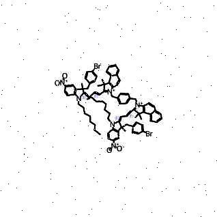 CCCCCCCCN1/C(=C/C=C/C2=[N+](Cc3ccc(C[N+]4=C(/C=C/C=C5/N(CCCCCCCC)c6ccc([N+](=O)[O-])cc6C5(C)Cc5ccc(Br)cc5)C(C)(C)c5c4ccc4ccccc54)cc3)c3ccc4ccccc4c3C2(C)C)C(C)(Cc2ccc(Br)cc2)c2cc([N+](=O)[O-])ccc21